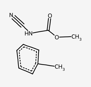 COC(=O)NC#N.Cc1ccccc1